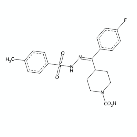 Cc1ccc(S(=O)(=O)N/N=C(/c2ccc(F)cc2)C2CCN(C(=O)O)CC2)cc1